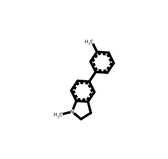 Cc1cc[c]c(-c2ccc3c(c2)CCN3C)c1